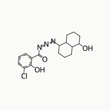 O=C(N=[N+]=NC1CCCC2C(O)CCCC12)c1cccc(Cl)c1O